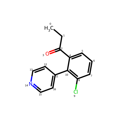 CCC(=O)c1cccc(Cl)c1-c1ccncc1